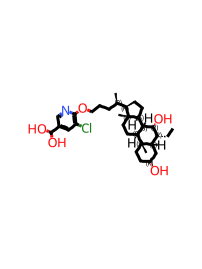 CC[C@H]1[C@@H](O)[C@@H]2[C@H](CC[C@]3(C)[C@@H]([C@H](C)CCCOc4ncc(C(O)O)cc4Cl)CC[C@@H]23)[C@@]2(C)CC[C@@H](O)C[C@@H]12